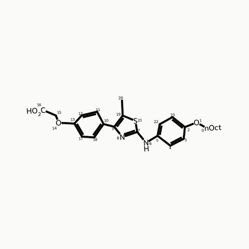 CCCCCCCCOc1ccc(Nc2nc(-c3ccc(OCC(=O)O)cc3)c(C)s2)cc1